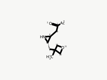 CC(=O)C(=O)CC1N[C@H]1CC1(C)COC1